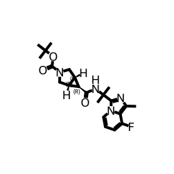 Cc1nc(C(C)(C)NC(=O)[C@H]2[C@@H]3CN(C(=O)OC(C)(C)C)C[C@@H]32)n2cccc(F)c12